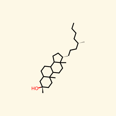 CCCC[C@H](C)CCC[C@H]1CCC2C3CCC4C[C@@](C)(O)CCC4(C)C3CCC21C